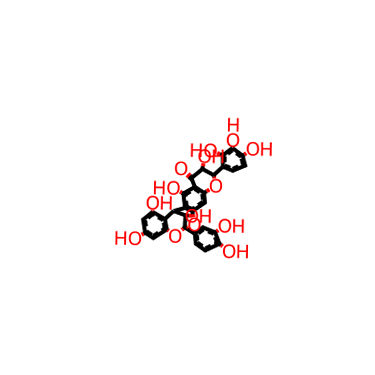 O=C1c2c(cc3c(c2O)C2c4c(O)cc(O)cc4OC(c4ccc(O)c(O)c4)(O3)C2O)OC(c2ccc(O)c(O)c2O)C1O